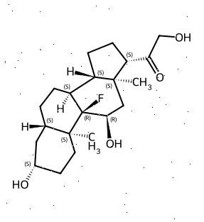 C[C@]12C[C@@H](O)[C@@]3(F)[C@@H](CC[C@H]4C[C@@H](O)CC[C@@]43C)[C@@H]1CC[C@@H]2C(=O)CO